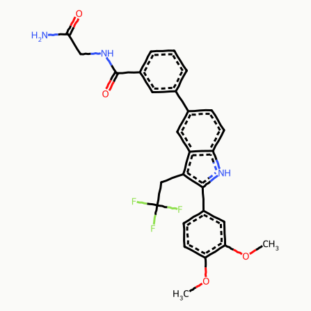 COc1ccc(-c2[nH]c3ccc(-c4cccc(C(=O)NCC(N)=O)c4)cc3c2CC(F)(F)F)cc1OC